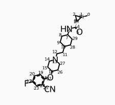 C[C@@H]1C[C@H]1C(=O)NC1CCC(CCN2CCC(Oc3ccc(F)cc3C#N)CC2)CC1